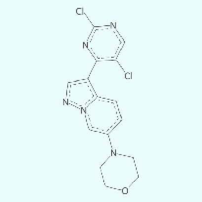 Clc1ncc(Cl)c(-c2cnn3cc(N4CCOCC4)ccc23)n1